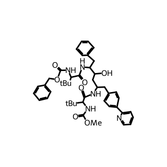 COC(=O)NC(C(=O)NC(Cc1ccc(-c2ccccn2)cc1)CC(O)C(Cc1ccccc1)NC(=O)C(NC(=O)OCc1ccccc1)C(C)(C)C)C(C)(C)C